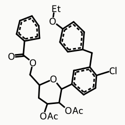 CCOc1ccc(Cc2cc(C3OC(COC(=O)c4ccccc4)CC(OC(C)=O)C3OC(C)=O)ccc2Cl)cc1